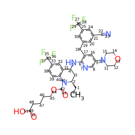 CC[C@@H]1C[C@H](Nc2ncc(N3CCOCC3)cc2Cc2cc(C#N)cc(C(F)(F)F)c2)c2cc(C(F)(F)F)ccc2N1C(=O)OCCCCC(=O)O